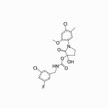 COc1cc(Cl)c(C)cc1N1CCC(O)(OC(=O)NCc2cc(F)cc(Cl)c2)C1=O